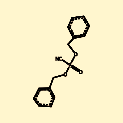 N#CP(=O)(OCc1ccccc1)OCc1ccccc1